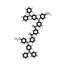 Cc1ccc(N(c2ccc(N(c3ccccc3)c3ccccc3)cc2)c2cccc(C(=O)c3cccc(C(=O)c4cccc(N(c5ccc(C)cc5)c5ccc(N(c6ccccc6)c6ccccc6)cc5)c4)c3)c2)cc1